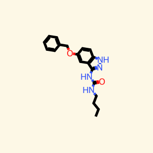 CCCCNC(=O)Nc1n[nH]c2ccc(OCc3ccccc3)cc12